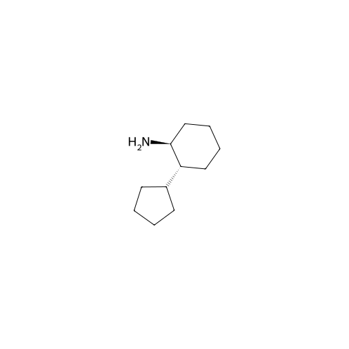 N[C@H]1CCCC[C@@H]1C1CCCC1